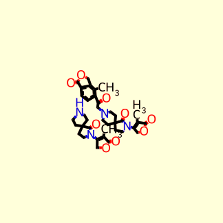 CC1=C(N2CCC3(CCN(CC(=O)c4ccc5c(c4C)COC5=O)CC3)C2=O)COC1=O.CC1=C(N2CCC3(CCNCC3)C2=O)COC1=O